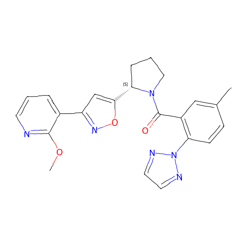 COc1ncccc1-c1cc([C@@H]2CCCN2C(=O)c2cc(C)ccc2-n2nccn2)on1